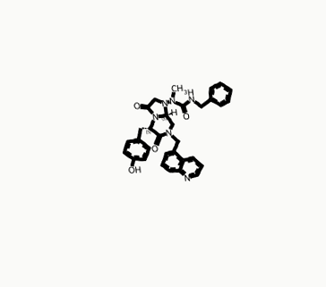 CN(C(=O)NCc1ccccc1)N1CC(=O)N2[C@@H](Cc3ccc(O)cc3)C(=O)N(Cc3cccc4ncccc34)C[C@@H]21